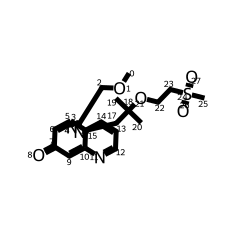 COCC1=NC2=CC(=O)C=C3N=CC=CC32N1CC(C)(C)OCCS(C)(=O)=O